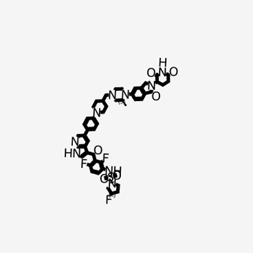 C[C@H]1CN(CC2CCN(c3ccc(-c4cnc5[nH]cc(C(=O)c6c(F)ccc(NS(=O)(=O)N7CC[C@@H](F)C7)c6F)c5c4)cc3)CC2)CCN1c1ccc2c(c1)CN(C1CCC(=O)NC1=O)C2=O